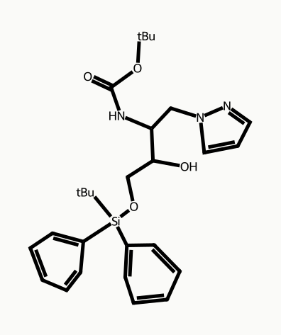 CC(C)(C)OC(=O)NC(Cn1cccn1)C(O)CO[Si](c1ccccc1)(c1ccccc1)C(C)(C)C